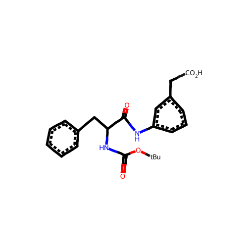 CC(C)(C)OC(=O)NC(Cc1ccccc1)C(=O)Nc1cccc(CC(=O)O)c1